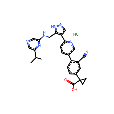 CC(C)c1cncc(NCc2[nH]ncc2-c2ccc(-c3ccc(C4(C(=O)O)CC4)cc3C#N)cn2)n1.Cl